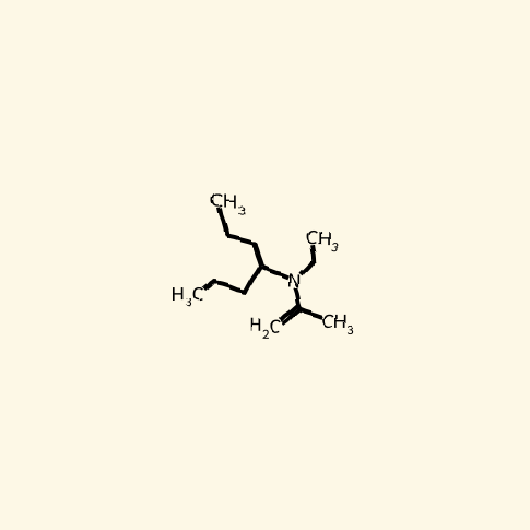 C=C(C)N(CC)C(CCC)CCC